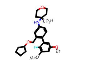 CCOc1cc(OC)c(F)c(-c2ccc(NC3(C(=O)O)CCOCC3)cc2COC2CCCC2)c1